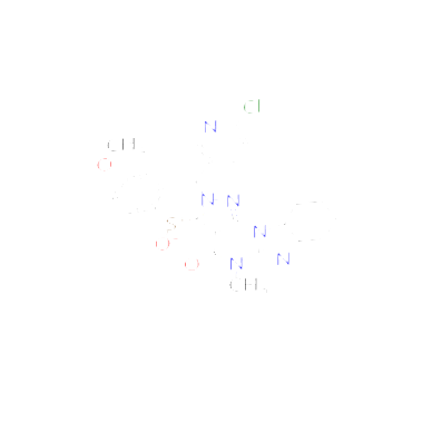 COc1ccc([S+]([O-])c2c3c(nn2Cc2ccc(Cl)nc2)N2C(=NC4CCCCC42)N(C)C3=O)cc1